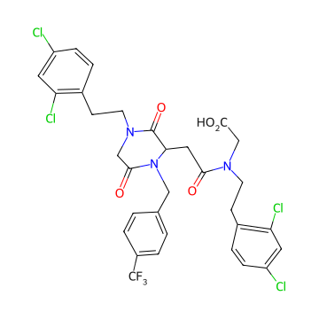 O=C(O)CN(CCc1ccc(Cl)cc1Cl)C(=O)CC1C(=O)N(CCc2ccc(Cl)cc2Cl)CC(=O)N1Cc1ccc(C(F)(F)F)cc1